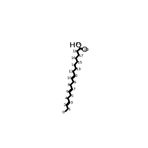 CC/C=C/CC/C=C/CC/C=C/CCCCCCCC(=O)O